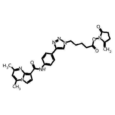 C=C1CCC(=O)N1OC(=O)CCCCn1cc(-c2ccc(NC(=O)c3ccn4c(C)cc(C)nc34)cc2)nn1